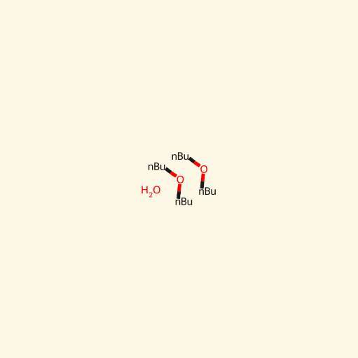 CCCCOCCCC.CCCCOCCCC.O